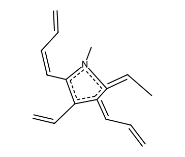 C=C/C=C\c1c(C=C)c(=C/C=C)/c(=C\C)n1C